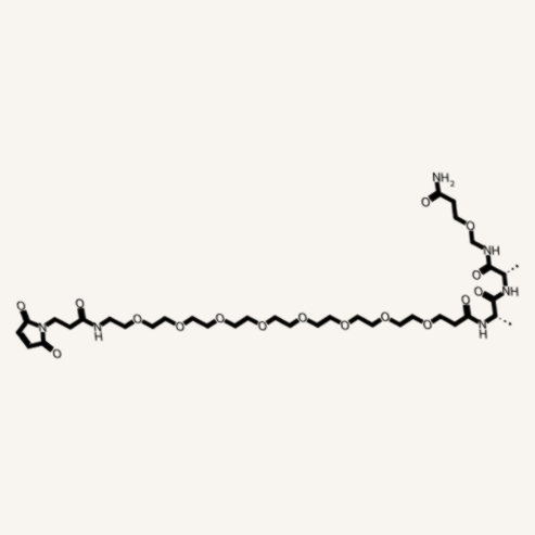 C[C@H](NC(=O)CCOCCOCCOCCOCCOCCOCCOCCOCCNC(=O)CCN1C(=O)C=CC1=O)C(=O)N[C@@H](C)C(=O)NCOCCC(N)=O